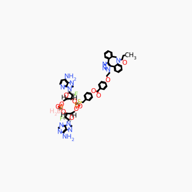 B[P@@]1(=O)OC[C@H]2O[C@@H](n3cnc4c(N)ccnc43)[C@H](F)[C@@H]2O[P@](=O)(SCc2ccc(OC(=O)c3ccc(OCCn4nnc5c4-c4ccccc4N(C(=O)CC)Cc4ccccc4-5)cc3)cc2)OC[C@H]2O[C@@H](n3cnc4c(N)ncnc43)[C@H](F)[C@@H]2O1